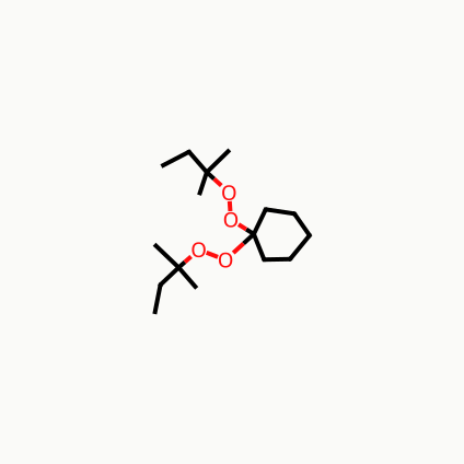 CCC(C)(C)OOC1(OOC(C)(C)CC)CCCCC1